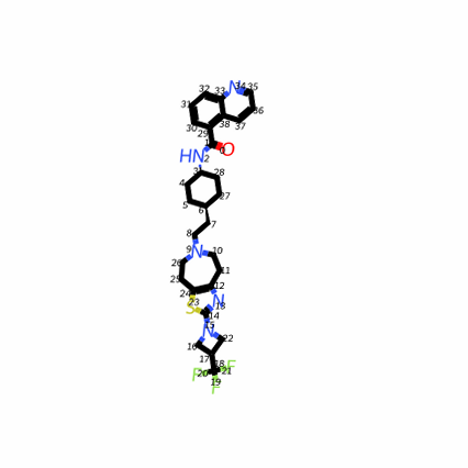 O=C(N[C@H]1CC[C@H](CCN2CCc3nc(N4CC(C(F)(F)F)C4)sc3CC2)CC1)c1cccc2ncccc12